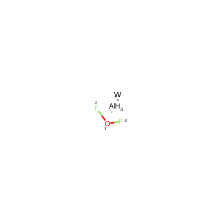 FOF.[AlH3].[W]